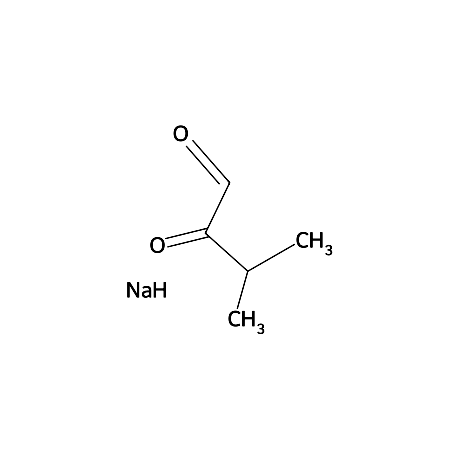 CC(C)C(=O)C=O.[NaH]